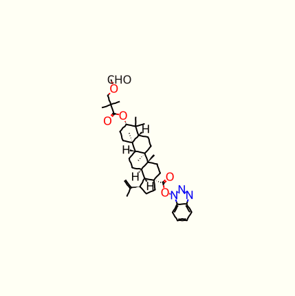 C=C(C)[C@@H]1CC[C@]2(C(=O)On3nnc4ccccc43)CC[C@]3(C)[C@H](CC[C@@H]4[C@@]5(C)CC[C@H](OC(=O)C(C)(C)COC=O)C(C)(C)[C@@H]5CC[C@]43C)[C@@H]12